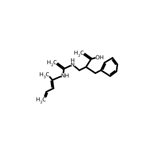 C=C/C=C(\C)NC(=C)NCC(Cc1ccccc1)C(=C)O